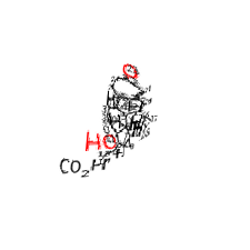 C[C@]12CC[C@H]3[C@H]([C@@H]1[C@H]1C[C@H]1[C@@]2(O)CCC(=O)O)[C@@H](C1CC1)CC1=CC(=O)CC[C@@H]13